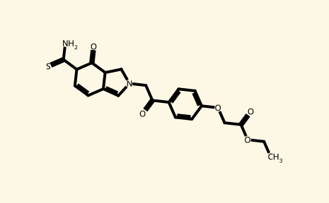 CCOC(=O)COc1ccc(C(=O)CN2C=C3C=CC(C(N)=S)C(=O)C3C2)cc1